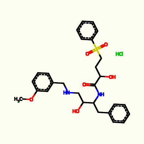 COc1cccc(CNCC(O)C(Cc2ccccc2)NC(=O)C(O)CCS(=O)(=O)c2ccccc2)c1.Cl